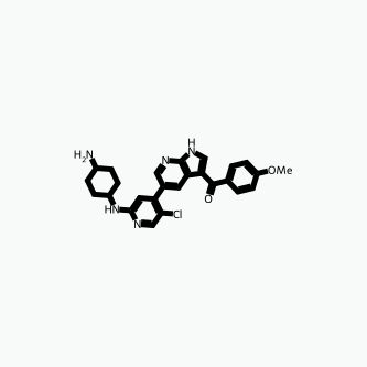 COc1ccc(C(=O)c2c[nH]c3ncc(-c4cc(NC5CCC(N)CC5)ncc4Cl)cc23)cc1